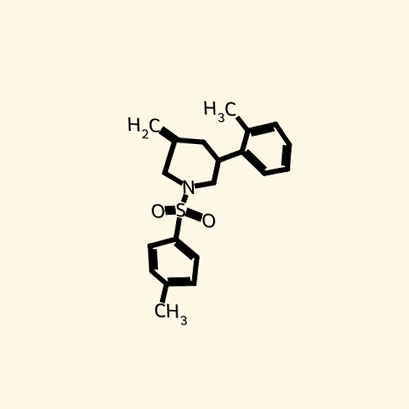 C=C1CC(c2ccccc2C)CN(S(=O)(=O)c2ccc(C)cc2)C1